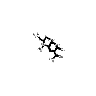 CCC1CNc2[nH]c(=O)c(C(=O)O)cc2N1O